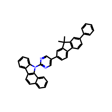 CC1(C)c2cc(-c3ccccc3)ccc2-c2ccc(-c3cnc(-n4c5ccccc5c5ccc6ccccc6c54)nc3)cc21